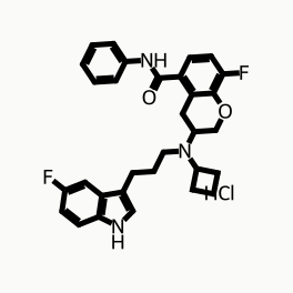 Cl.O=C(Nc1ccccc1)c1ccc(F)c2c1CC(N(CCCc1c[nH]c3ccc(F)cc13)C1CCC1)CO2